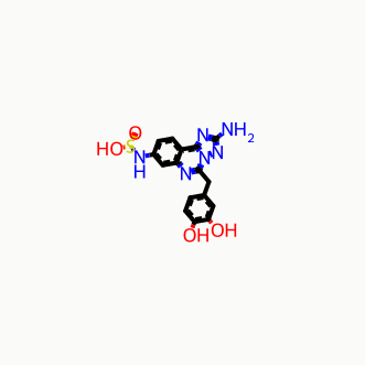 Nc1nc2c3ccc(NS(=O)O)cc3nc(Cc3ccc(O)c(O)c3)n2n1